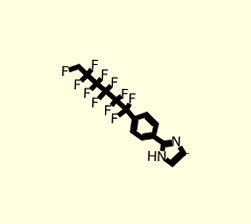 FCC(F)(F)C(F)(F)C(F)(F)C(F)(F)C(F)(F)c1ccc(-c2n[c]c[nH]2)cc1